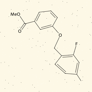 COC(=O)c1cccc(OCc2ccc(C)cc2F)c1